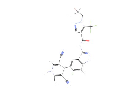 CC1=C(C#N)C(c2cc3c(NC(=O)c4cnn(CC(C)(C)O)c4C(F)(F)F)n[nH]c3c(C)c2F)C(C#N)=C(C)N1C